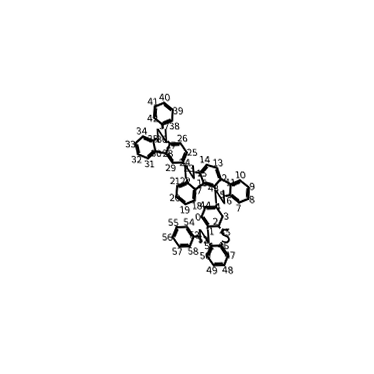 C1=C2C(CC(n3c4ccccc4c4ccc5c(c6ccccc6n5-c5ccc6c(c5)c5ccccc5n6-c5ccccc5)c43)=C1)Sc1ccccc1N2c1ccccc1